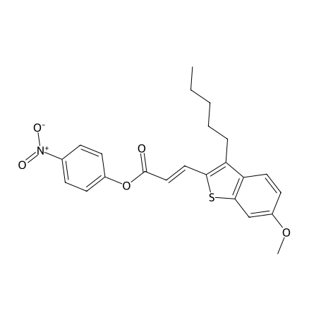 CCCCCc1c(/C=C/C(=O)Oc2ccc([N+](=O)[O-])cc2)sc2cc(OC)ccc12